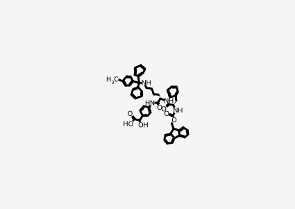 Cc1ccc(C(NCCCC[C@H](NC(=O)[C@H](Cc2ccccc2)NC(=O)OCC2c3ccccc3-c3ccccc32)C(=O)Nc2ccc(C(O)C(=O)O)cc2)(c2ccccc2)c2ccccc2)cc1